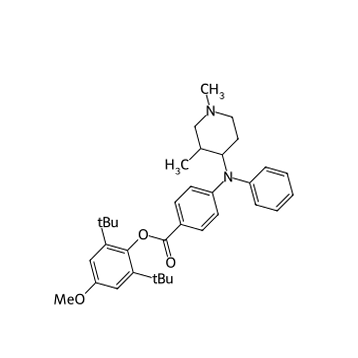 COc1cc(C(C)(C)C)c(OC(=O)c2ccc(N(c3ccccc3)C3CCN(C)CC3C)cc2)c(C(C)(C)C)c1